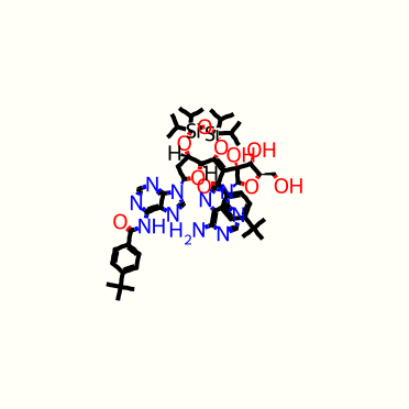 CC(C)[Si]1(C(C)C)OC(=C(C(=O)c2ccc(C(C)(C)C)cc2)[C@]2(O)[C@H](O)[C@@H](CO)O[C@H]2n2cnc3c(N)ncnc32)[C@H]2O[C@@H](n3cnc4c(NC(=O)c5ccc(C(C)(C)C)cc5)ncnc43)C[C@@H]2O[Si](C(C)C)(C(C)C)O1